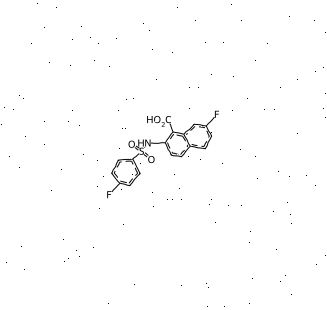 O=C(O)c1c(NS(=O)(=O)c2ccc(F)cc2)ccc2ccc(F)cc12